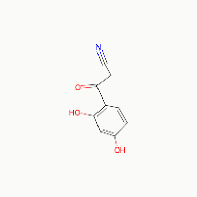 N#CCC(=O)c1ccc(O)cc1O